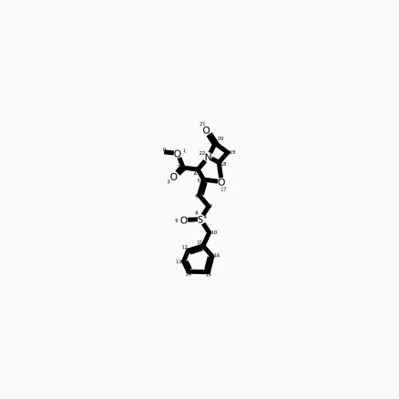 COC(=O)C1C(=CC[S+]([O-])Cc2ccccc2)OC2CC(=O)N21